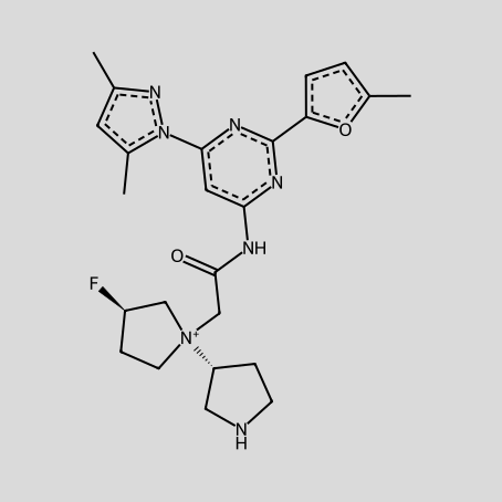 Cc1cc(C)n(-c2cc(NC(=O)C[N+]3([C@@H]4CCNC4)CC[C@@H](F)C3)nc(-c3ccc(C)o3)n2)n1